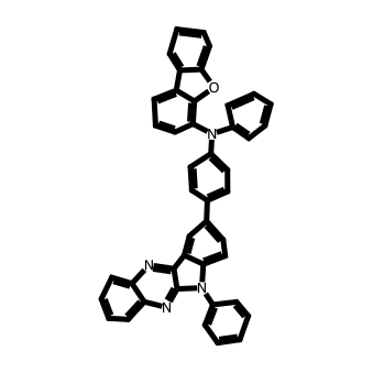 c1ccc(N(c2ccc(-c3ccc4c(c3)c3nc5ccccc5nc3n4-c3ccccc3)cc2)c2cccc3c2oc2ccccc23)cc1